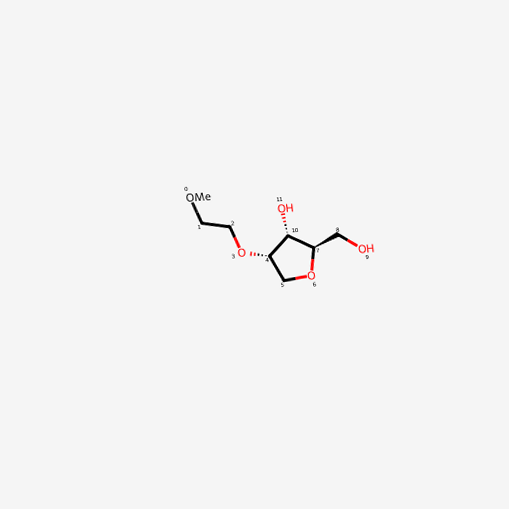 COCCO[C@H]1CO[C@H](CO)[C@H]1O